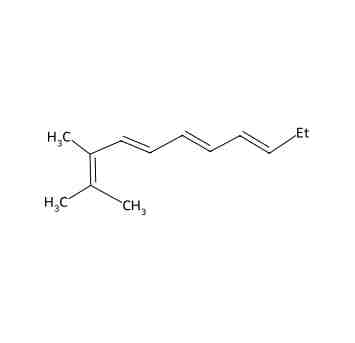 CCC=CC=CC=CC(C)=C(C)C